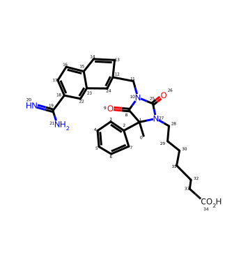 CC1(c2ccccc2)C(=O)N(Cc2ccc3ccc(C(=N)N)cc3c2)C(=O)N1CCCCCCC(=O)O